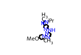 CO[C@H]1CCN(c2nccc(Nc3cc4c(cn3)nc(C)n4C(C)C)n2)[C@@H](C)C1